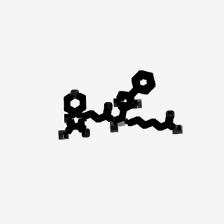 CCC(=O)CCCCC[C@H](NC(=O)CCN1C(=O)C(CC)=NC12CCOCC2)c1ncc(-c2ccccc2)[nH]1